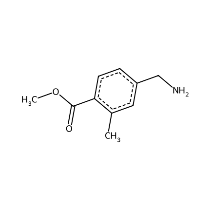 COC(=O)c1ccc(CN)cc1C